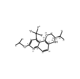 CC(C)Oc1cc(C(F)(F)F)c2c3c(ccc2n1)N[C@H](C(C)C)CO3